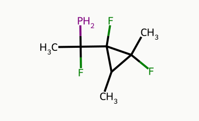 CC1C(C)(F)C1(F)C(C)(F)P